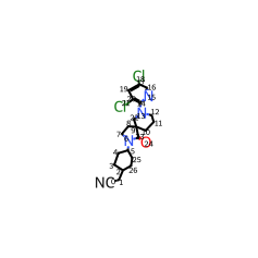 N#CCC1CCC(N2CCC3(CCCN(c4ncc(Cl)cc4Cl)C3)C2=O)CC1